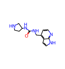 O=C(NCc1ccnc2[nH]ccc12)NC1CCNC1